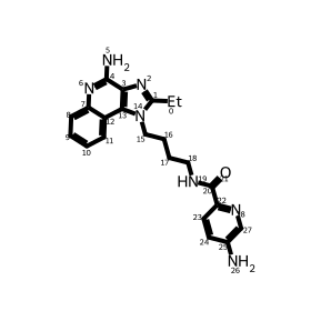 CCc1nc2c(N)nc3ccccc3c2n1CCCCNC(=O)c1ccc(N)cn1